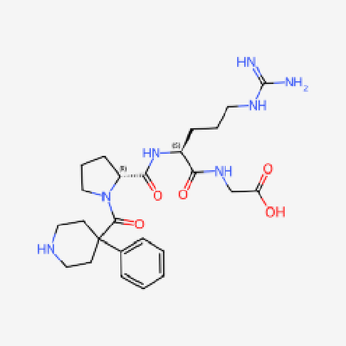 N=C(N)NCCC[C@H](NC(=O)[C@H]1CCCN1C(=O)C1(c2ccccc2)CCNCC1)C(=O)NCC(=O)O